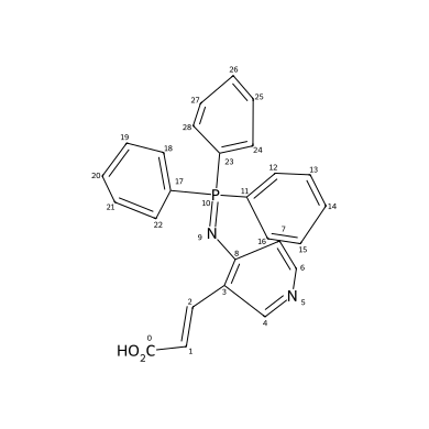 O=C(O)C=Cc1cnccc1N=P(c1ccccc1)(c1ccccc1)c1ccccc1